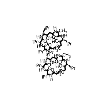 CC(C)CC(=O)N[C@H](C(=O)N[C@H](C(=O)N[C@@H](CC(C)C)[C@@H](O)CC(=O)N[C@@H](C)C(=O)N[C@@H](CC(C)C)[C@@H](O)CC(=O)O)C(C)C)C(C)C.CC(C)CC(=O)N[C@H](C(=O)N[C@H](C(=O)N[C@@H](CC(C)C)[C@@H](O)CC(=O)N[C@@H](C)C(=O)N[C@@H](CC(C)C)[C@@H](O)CC(=O)O)C(C)C)C(C)C